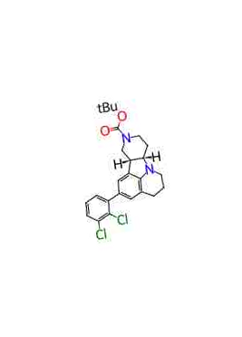 CC(C)(C)OC(=O)N1CC[C@H]2[C@@H](C1)c1cc(-c3cccc(Cl)c3Cl)cc3c1N2CCC3